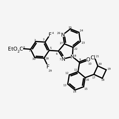 CCOC(=O)c1cc(F)c(-c2nn(C(=O)c3ccccc3C3CCC3Cl)c3cccnc23)c(F)c1